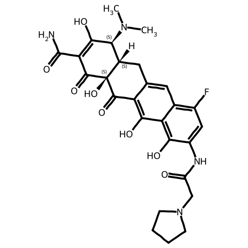 CN(C)[C@@H]1C(O)=C(C(N)=O)C(=O)[C@@]2(O)C(=O)c3c(cc4c(F)cc(NC(=O)CN5CCCC5)c(O)c4c3O)C[C@@H]12